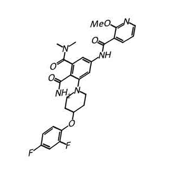 COc1ncccc1C(=O)Nc1cc(C(=O)N(C)C)c(C(N)=O)c(N2CCC(Oc3ccc(F)cc3F)CC2)c1